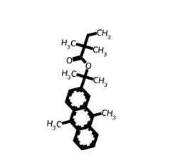 CCC(C)(C)C(=O)OC(C)(C)c1ccc2c(C)c3ccccc3c(C)c2c1